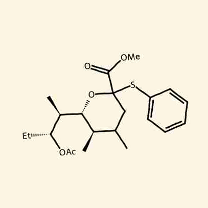 CC[C@@H](OC(C)=O)[C@@H](C)[C@@H]1OC(Sc2ccccc2)(C(=O)OC)CC(C)[C@H]1C